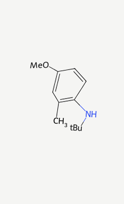 COc1ccc(NC(C)(C)C)c(C)c1